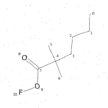 CCCCC(C)(C)C(=O)OF